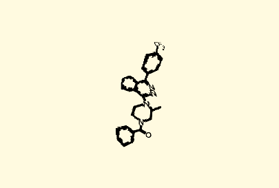 CC1CN(C(=O)c2ccccc2)CCN1c1nnc(-c2ccc(C(F)(F)F)cc2)c2ccccc12